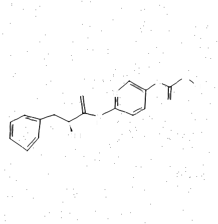 COC(=O)Nc1ccc(NC(=O)[C@@H](N)Cc2ccccc2)nc1